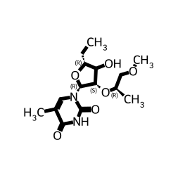 CC[C@H]1O[C@@H](n2cc(C)c(=O)[nH]c2=O)[C@@H](O[C@H](C)COC)C1O